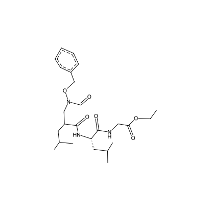 CCOC(=O)CNC(=O)[C@H](CC(C)C)NC(=O)C(CC(C)C)CN(C=O)OCc1ccccc1